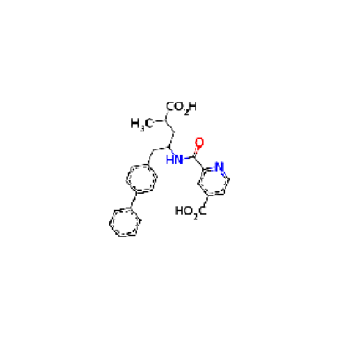 CC(CC(Cc1ccc(-c2ccccc2)cc1)NC(=O)c1cc(C(=O)O)ccn1)C(=O)O